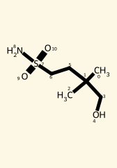 CC(C)(CO)CCS(N)(=O)=O